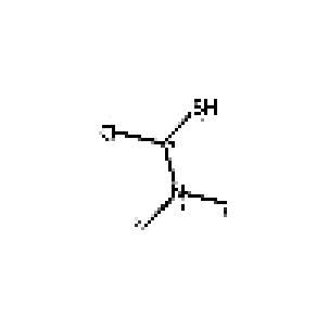 CN(C)C(S)Cl